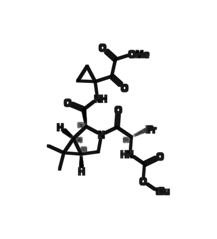 COC(=O)C(=O)C1(NC(=O)[C@@H]2[C@@H]3[C@H](CN2C(=O)[C@@H](NC(=O)OC(C)(C)C)C(C)C)C3(C)C)CC1